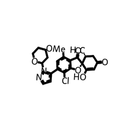 COc1cc(-c2ccnn2C2CCCCO2)c(Cl)c2c1C(=O)[C@@]1(O2)C(O)=CC(=O)C[C@H]1C